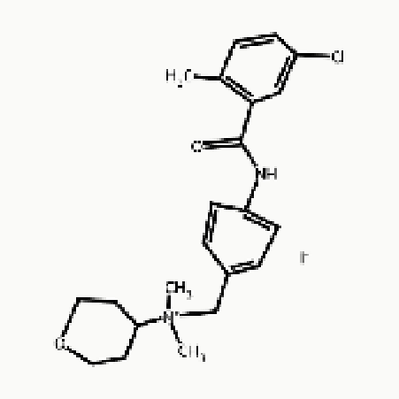 Cc1ccc(Cl)cc1C(=O)Nc1ccc(C[N+](C)(C)C2CCOCC2)cc1.[I-]